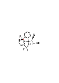 N#CC(CO)C(O)(c1ccccc1C(F)(F)F)c1ccccc1C(F)(F)F